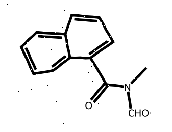 CN([C]=O)C(=O)c1cccc2ccccc12